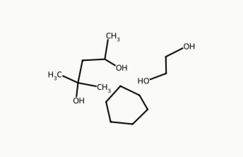 C1CCCCC1.CC(O)CC(C)(C)O.OCCO